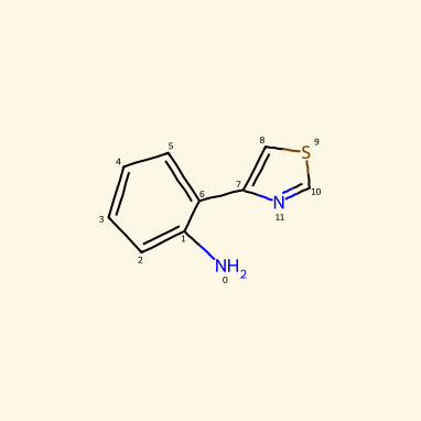 Nc1ccccc1-c1cscn1